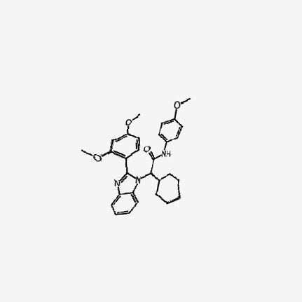 COc1ccc(NC(=O)C(C2CCCCC2)n2c(-c3ccc(OC)cc3OC)nc3ccccc32)cc1